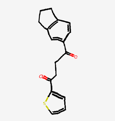 O=C(CCC(=O)c1cccs1)c1ccc2c(c1)CCC2